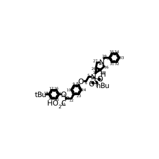 CCCCS(=O)(=O)N(CCOc1ccc(C[C@H](Oc2ccc(C(C)(C)C)cc2)C(=O)O)cc1)C1C2CN(Cc3ccccc3)C[C@@H]21